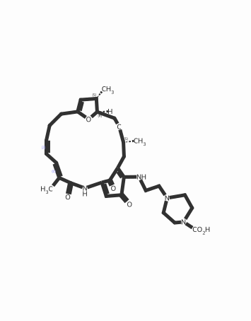 C/C1=C\C=C/CCC2=C[C@H](C)[C@@H](CC[C@H](C)CC3=C(NCCN4CCN(C(=O)O)CC4)C(=O)C=C(NC1=O)C3=O)O2